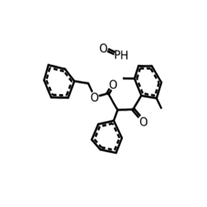 Cc1cccc(C)c1C(=O)C(C(=O)OCc1ccccc1)c1ccccc1.O=P